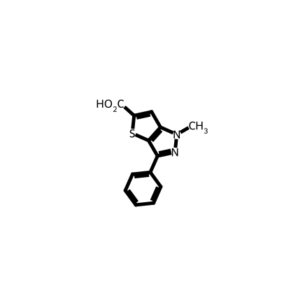 Cn1nc(-c2ccccc2)c2sc(C(=O)O)cc21